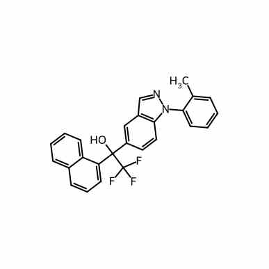 Cc1ccccc1-n1ncc2cc(C(O)(c3cccc4ccccc34)C(F)(F)F)ccc21